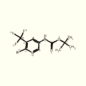 CC(C)(C)OC(=O)Nc1cnc(Br)c(C(F)(F)F)c1